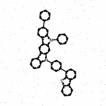 c1ccc(-c2ccc3c4cc5c6ccccc6n(-c6ccc(-c7cccc8c7sc7ccccc78)cc6)c5cc4n(-c4ccccc4)c3c2)cc1